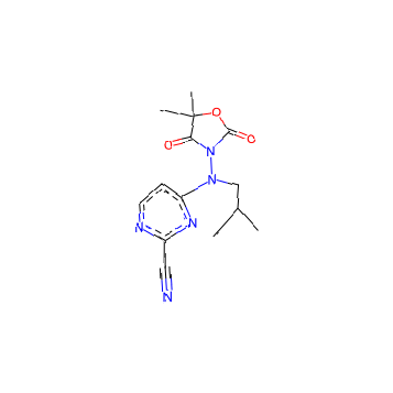 CC(C)CN(c1ccnc(C#N)n1)N1C(=O)OC(C)(C)C1=O